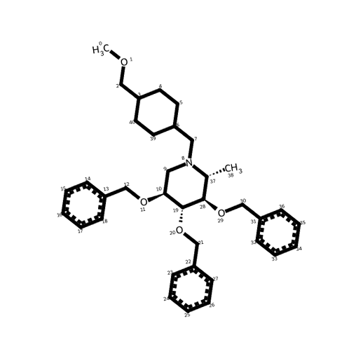 COCC1CCC(CN2C[C@H](OCc3ccccc3)[C@@H](OCc3ccccc3)[C@H](OCc3ccccc3)[C@H]2C)CC1